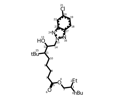 CCCCC(CC)COC(=O)CCCCC(C(O)Cn1nc2ccc(Cl)cc2n1)C(C)(C)C